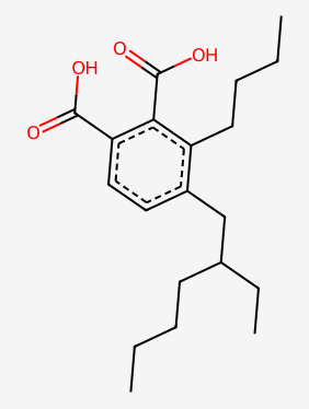 CCCCc1c(CC(CC)CCCC)ccc(C(=O)O)c1C(=O)O